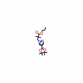 CCCOC(=O)C(C)(C)Cn1cc(B2OC(C)(C)C(C)(C)O2)cn1